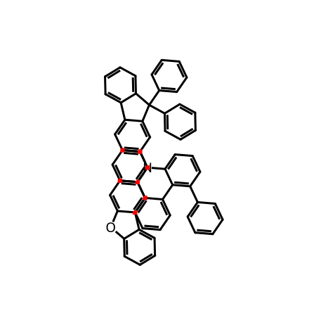 c1ccc(-c2ccccc2-c2c(-c3ccccc3)cccc2N(c2ccc3c(c2)C(c2ccccc2)(c2ccccc2)c2ccccc2-3)c2ccc3oc4ccccc4c3c2)cc1